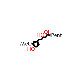 CCCC(C)C(O)CC(O)CCc1ccc(O)c(OC)c1